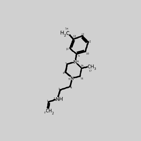 C=CNCCN1CCN(c2cccc(C)c2)C(C)C1